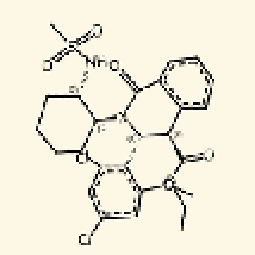 CCOC(=O)[C@@H]1c2ccccc2C(=O)N([C@H]2CCCC[C@@H]2NS(C)(=O)=O)[C@H]1c1c(Cl)cc(Cl)cc1OC